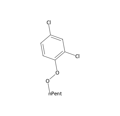 CCCCCOOc1ccc(Cl)cc1Cl